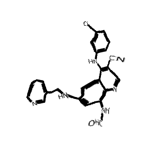 N#Cc1cnc2c(NC=O)cc(NCc3cccnc3)cc2c1Nc1cccc(Cl)c1